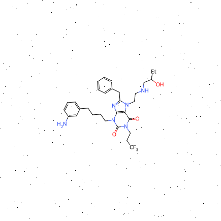 CCC(O)CNCCn1c(Cc2ccccc2)nc2c1c(=O)n(CCC(F)(F)F)c(=O)n2CCCCc1cccc(N)c1